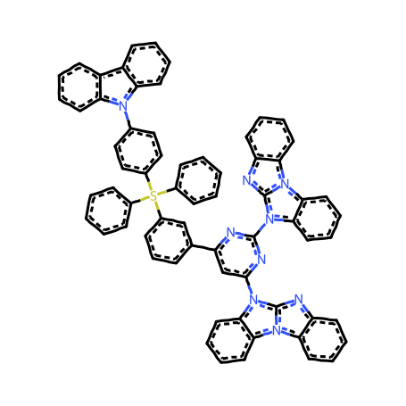 c1ccc(S(c2ccccc2)(c2ccc(-n3c4ccccc4c4ccccc43)cc2)c2cccc(-c3cc(-n4c5ccccc5n5c6ccccc6nc45)nc(-n4c5ccccc5n5c6ccccc6nc45)n3)c2)cc1